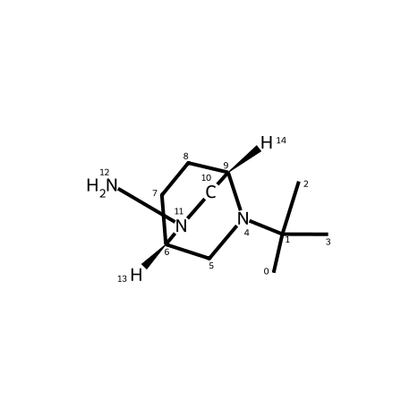 CC(C)(C)N1C[C@@H]2CC[C@H]1CN2N